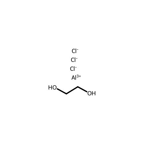 OCCO.[Al+3].[Cl-].[Cl-].[Cl-]